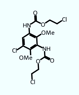 COc1c(Cl)cc(NC(=O)OCCCl)c(OC)c1NC(=O)OCCCl